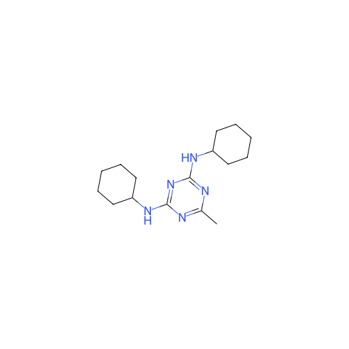 Cc1nc(NC2CCCCC2)nc(NC2CCCCC2)n1